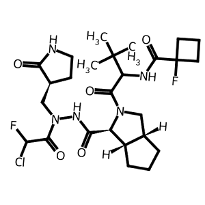 CC(C)(C)C(NC(=O)C1(F)CCC1)C(=O)N1C[C@@H]2CCC[C@@H]2[C@H]1C(=O)NN(C[C@@H]1CCNC1=O)C(=O)C(F)Cl